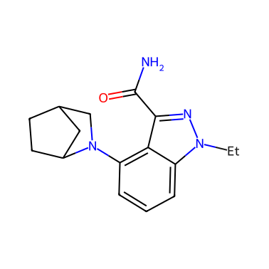 CCn1nc(C(N)=O)c2c(N3CC4CCC3C4)cccc21